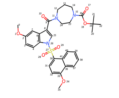 COc1ccc2c(c1)c(C(=O)N1CCCN(C(=O)OC(C)(C)C)CC1)cn2S(=O)(=O)c1ccc(OC)c2ccccc12